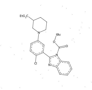 CCOC(=O)C1CCCN(c2ccc(Cl)c(-c3nc4ccccc4n3C(=O)OC(C)(C)C)c2)C1